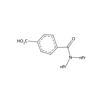 CCCN(CCC)C(=O)c1ccc(C(=O)O)cc1